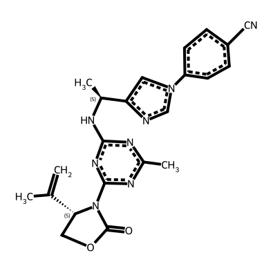 C=C(C)[C@H]1COC(=O)N1c1nc(C)nc(N[C@@H](C)c2cn(-c3ccc(C#N)cc3)cn2)n1